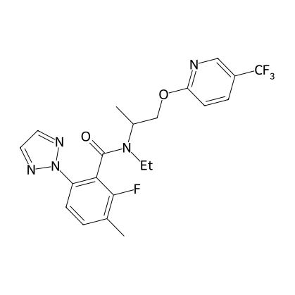 CCN(C(=O)c1c(-n2nccn2)ccc(C)c1F)C(C)COc1ccc(C(F)(F)F)cn1